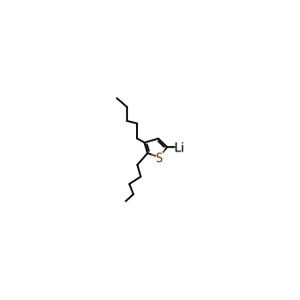 [Li][c]1cc(CCCCC)c(CCCCC)s1